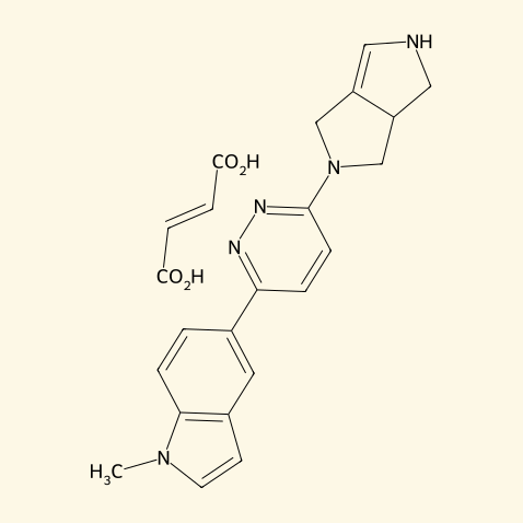 Cn1ccc2cc(-c3ccc(N4CC5=CNCC5C4)nn3)ccc21.O=C(O)C=CC(=O)O